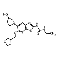 CCNC(=O)Nc1nc2cc(N3CCC(O)C3)c(OCC3CCOC3)nc2s1